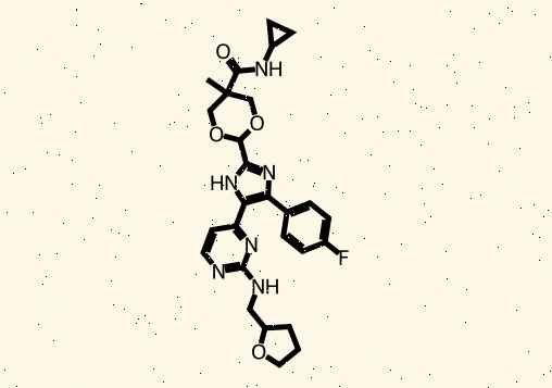 CC1(C(=O)NC2CC2)COC(c2nc(-c3ccc(F)cc3)c(-c3ccnc(NCC4CCCO4)n3)[nH]2)OC1